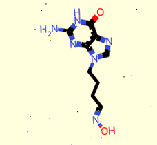 Nc1nc2c(ncn2CCCC=NO)c(=O)[nH]1